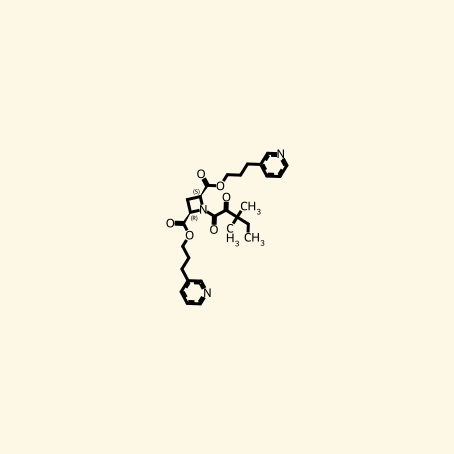 CCC(C)(C)C(=O)C(=O)N1[C@@H](C(=O)OCCCc2cccnc2)C[C@H]1C(=O)OCCCc1cccnc1